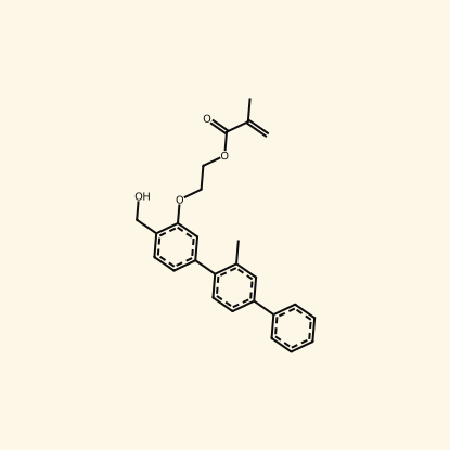 C=C(C)C(=O)OCCOc1cc(-c2ccc(-c3ccccc3)cc2C)ccc1CO